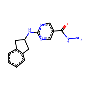 NNC(=O)c1cnc(NC2Cc3ccccc3C2)nc1